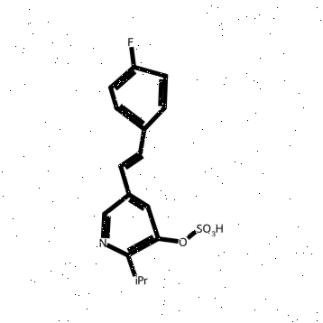 CC(C)c1ncc(C=Cc2ccc(F)cc2)cc1OS(=O)(=O)O